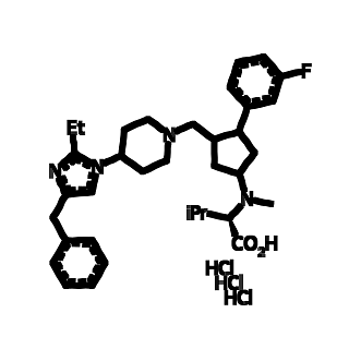 CCc1nc(Cc2ccccc2)cn1C1CCN(CC2CC(N(C)[C@@H](C(=O)O)C(C)C)CC2c2cccc(F)c2)CC1.Cl.Cl.Cl